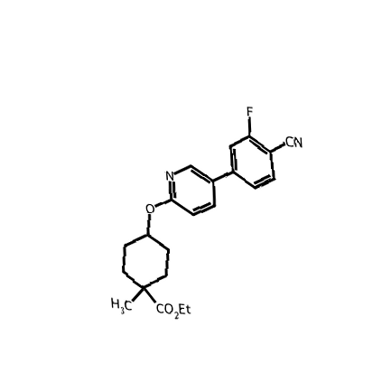 CCOC(=O)C1(C)CCC(Oc2ccc(-c3ccc(C#N)c(F)c3)cn2)CC1